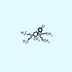 C=CCN(CCC)C1CCC(c2ccc(Cl)cc2)(N(CCCC)CCCC)CC1C